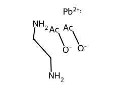 CC(=O)[O-].CC(=O)[O-].NCCN.[Pb+2]